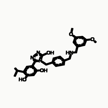 COc1cc(CNCc2ccc(Cn3c(O)nnc3-c3cc(C(C)C)c(O)cc3O)cc2)cc(OC)c1